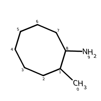 CC1CCCCCCC1N